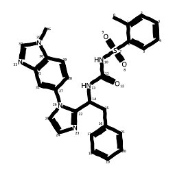 Cc1ccccc1S(=O)(=O)NC(=O)NC(Cc1ccccc1)c1nccn1-c1ccc2c(c1)ncn2C